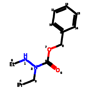 CCNN(CC(C)C)C(=O)OCc1ccccc1